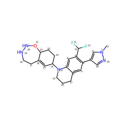 Cn1cc(-c2cc3c(cc2C(F)F)N(C2C=C4CCNNOC4CC2)CCC3)cn1